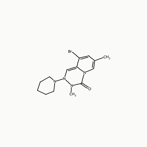 CC1=CN2C(=O)N(C)N(N3CCCCC3)C=C2C(Br)=C1